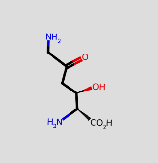 NCC(=O)C[C@@H](O)[C@H](N)C(=O)O